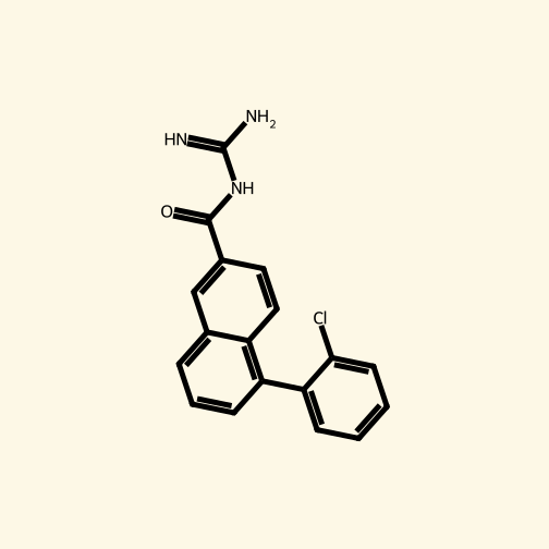 N=C(N)NC(=O)c1ccc2c(-c3ccccc3Cl)cccc2c1